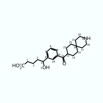 O=C(O)CCCC(O)c1cccc(C(=O)C2CCC3(CCNCC3)CC2)c1